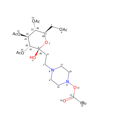 CC(=O)OC[C@H]1O[C@](O)(CCN2CCN(OC(=O)C(C)(C)C)CC2)[C@H](OC(C)=O)[C@@H](OC(C)=O)[C@@H]1OC(C)=O